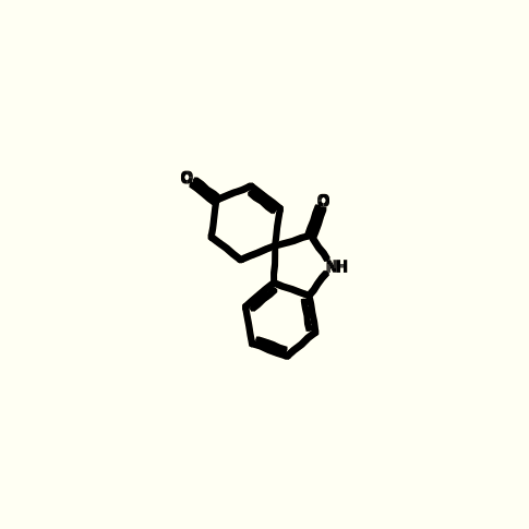 O=C1C=CC2(CC1)C(=O)Nc1ccccc12